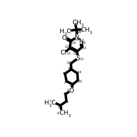 CC(C)CCOC1CCC(CSc2cnn(C(C)(C)C)c(=O)c2Cl)CC1